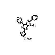 CCn1c(-c2ccncc2)nc2c(N3CCOCC3)nc(-n3cc(OC)cn3)nc21